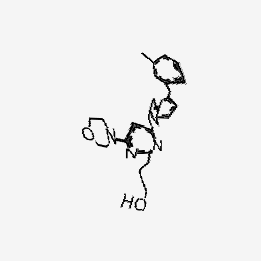 Cc1cccc(-c2ccn(-c3cc(N4CCOCC4)nc(CCCO)n3)n2)c1